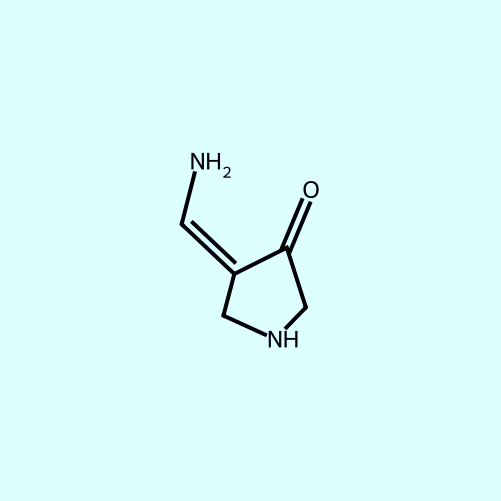 NC=C1CNCC1=O